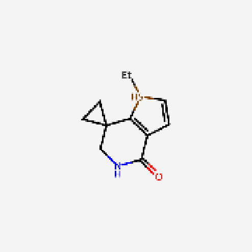 CC[SH]1C=CC2=C1C1(CC1)CNC2=O